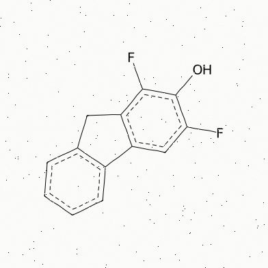 Oc1c(F)cc2c(c1F)Cc1ccccc1-2